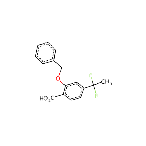 CC(F)(F)c1ccc(C(=O)O)c(OCc2ccccc2)c1